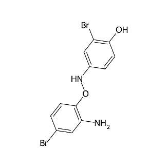 Nc1cc(Br)ccc1ONc1ccc(O)c(Br)c1